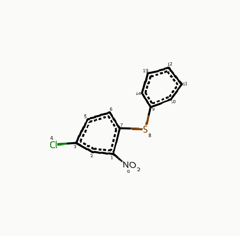 O=[N+]([O-])c1cc(Cl)ccc1Sc1ccccc1